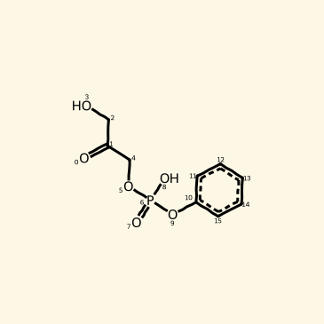 O=C(CO)COP(=O)(O)Oc1ccccc1